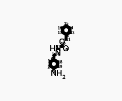 Nc1ccc(C=NNC(=O)OCc2ccccc2)cc1